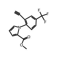 C#Cc1cc(C(F)(F)F)ccc1-n1cccc1C(=O)OC